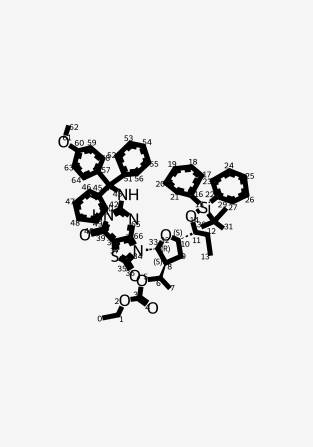 CCOC(=O)OC(C)[C@@H]1C[C@@H](C(CC)O[Si](c2ccccc2)(c2ccccc2)C(C)(C)C)O[C@H]1n1c(=O)sc2c(=O)[nH]c(NC(c3ccccc3)(c3ccccc3)c3ccc(OC)cc3)nc21